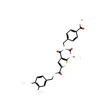 COc1ccc(CNC(=O)c2cc3c(=O)n(Cc4ccc(C(=O)OC(C)(C)C)cc4)c(=O)n(C)c3s2)cc1OC